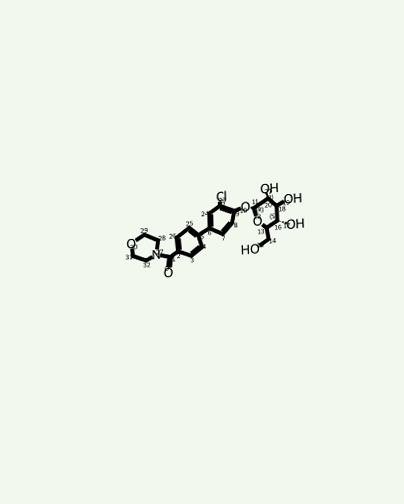 O=C(c1ccc(-c2ccc(O[C@H]3OC(CO)[C@@H](O)C(O)[C@H]3O)c(Cl)c2)cc1)N1CCOCC1